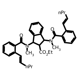 CCCC=Cc1ccccc1C(=O)N(C)C1c2ccccc2C(N(C)C(=O)c2ccccc2C=CCCC)C1C(=O)OCC